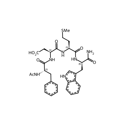 CSCC[C@H](NC(=O)[C@H](CC(=O)O)NC(=O)[C@H](Cc1ccccc1)NC(C)=O)C(=O)N[C@H](Cc1c[nH]c2ccccc12)C(N)=O